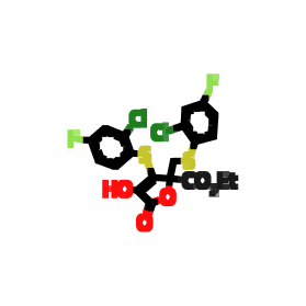 CCOC(=O)C1(CSc2ccc(F)cc2Cl)OC(=O)C(O)=C1Sc1ccc(F)cc1Cl